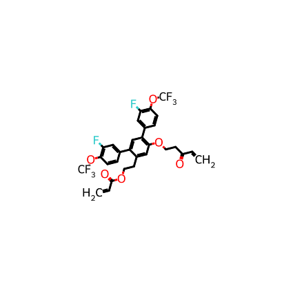 C=CC(=O)CCOc1cc(CCOC(=O)C=C)c(-c2ccc(OC(F)(F)F)c(F)c2)cc1-c1ccc(OC(F)(F)F)c(F)c1